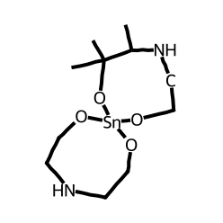 CC1NCC[O][Sn]2([O]CCNCC[O]2)[O]C1(C)C